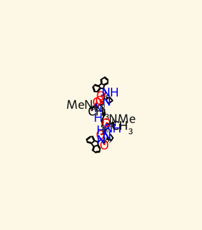 CN[C@@H](C)C(=O)N[C@@H](CC#CC#CC[C@H](NC(=O)[C@H](C)NC)C(=O)N1CCC[C@H]1C(=O)NC1c2ccccc2-c2ccccc21)C(=O)N1CCC[C@H]1C(=O)NC1c2ccccc2-c2ccccc21